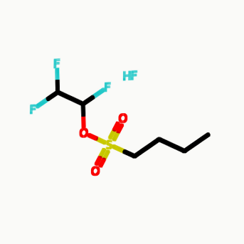 CCCCS(=O)(=O)OC(F)C(F)F.F